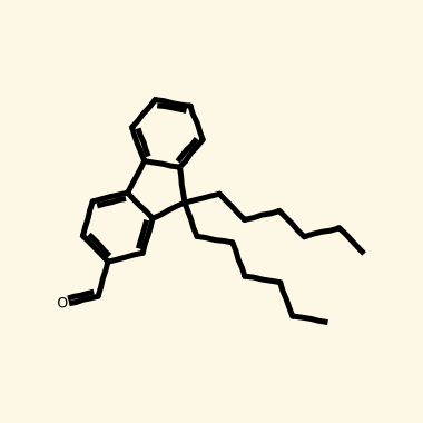 CCCCCCC1(CCCCCC)c2ccccc2-c2ccc(C=O)cc21